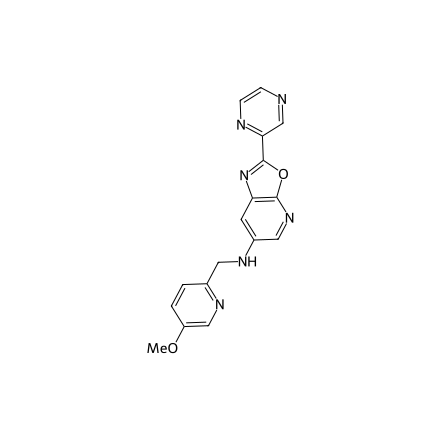 COc1ccc(CNc2cnc3oc(-c4cnccn4)nc3c2)nc1